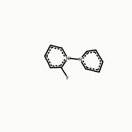 Fc1cccc[n+]1-[n+]1ccccc1